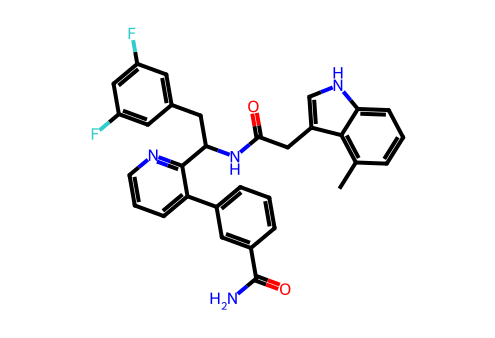 Cc1cccc2[nH]cc(CC(=O)NC(Cc3cc(F)cc(F)c3)c3ncccc3-c3cccc(C(N)=O)c3)c12